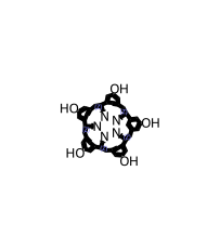 N#C/C1=C\c2cc(O)cc(c2)/C(C#N)=C/c2cc(O)cc(c2)/C(C#N)=C/c2cc(O)cc(c2)/C(C#N)=C/c2cc(O)cc(c2)/C(C#N)=C/c2cc(O)cc1c2